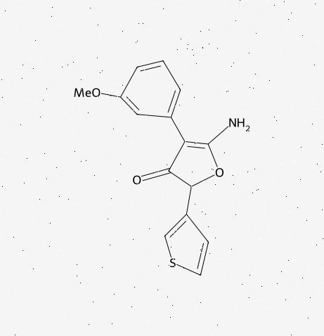 COc1cccc(C2=C(N)OC(c3ccsc3)C2=O)c1